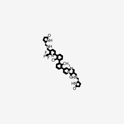 Cc1c(-c2ccn3c(=O)c(CNC[C@H]4CCC(=O)N4)cnc3c2)cccc1-c1cccc(-c2ccc(CNC[C@H]3CCC(=O)N3)c(C(F)(F)F)n2)c1Cl